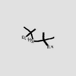 CCC(C)(C)[SiH]C(C)(C)CC